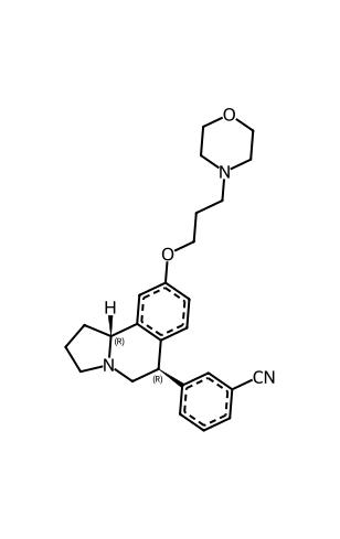 N#Cc1cccc([C@H]2CN3CCC[C@@H]3c3cc(OCCCN4CCOCC4)ccc32)c1